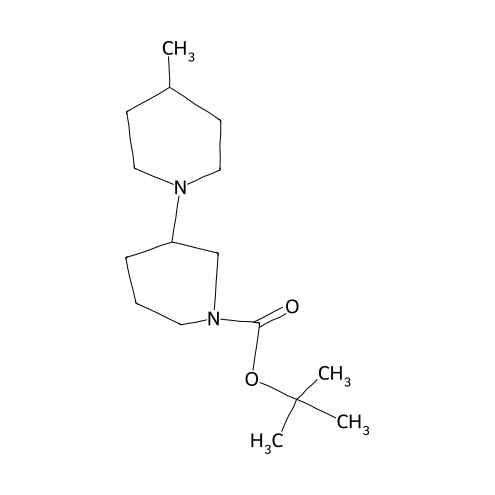 CC1CCN(C2CCCN(C(=O)OC(C)(C)C)C2)CC1